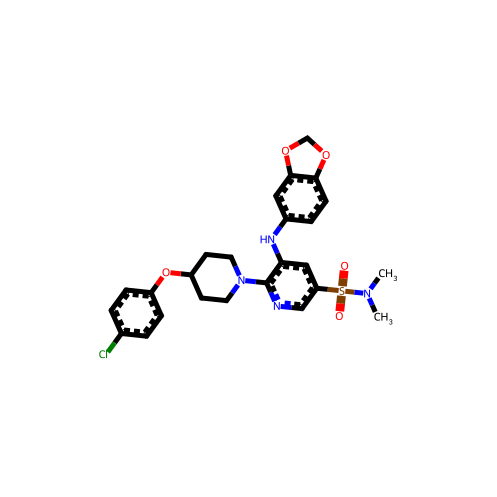 CN(C)S(=O)(=O)c1cnc(N2CCC(Oc3ccc(Cl)cc3)CC2)c(Nc2ccc3c(c2)OCO3)c1